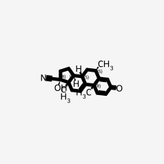 C[C@H]1C[C@@H]2C(=CC[C@@]3(C)[C@H]2CC[C@]3(O)C#N)[C@@]2(C)C=CC(=O)C=C12